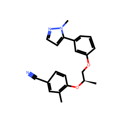 Cc1cc(C#N)ccc1O[C@H](C)COc1cccc(-c2ccnn2C)c1